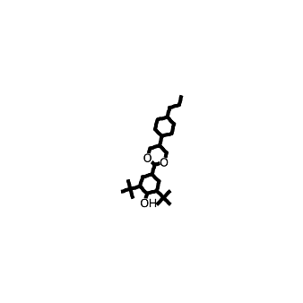 CCCC1CCC(C2COC(C3CC(C(C)(C)C)C(O)C(C(C)(C)C)C3)OC2)CC1